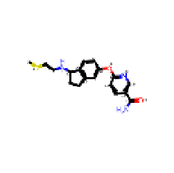 CSCCNC1CCc2cc(Oc3ccc(C(N)=O)cn3)ccc21